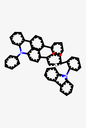 c1ccc(-c2ccc(-c3ccccc3N(c3ccccc3)c3ccc(-c4ccc(-c5ccccc5-n5c6ccccc6c6ccccc65)cc4)cc3)cc2)cc1